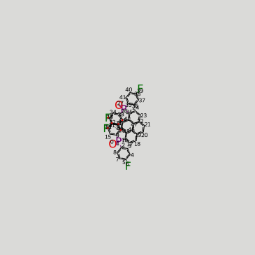 O=P(c1ccc(F)cc1)(c1ccc(F)cc1)c1ccc2ccc3ccc(P(=O)(c4ccc(F)cc4)c4ccc(F)cc4)c4ccc1c2c34